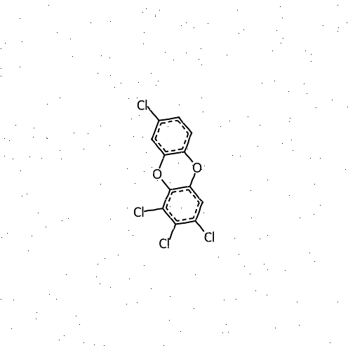 Clc1ccc2c(c1)Oc1c(cc(Cl)c(Cl)c1Cl)O2